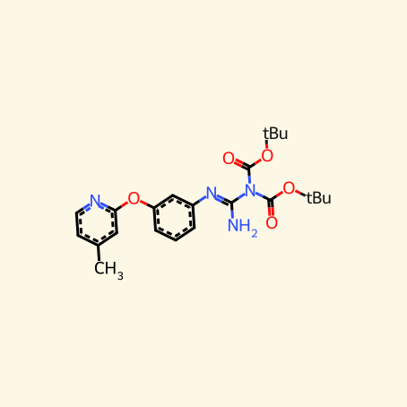 Cc1ccnc(Oc2cccc(/N=C(\N)N(C(=O)OC(C)(C)C)C(=O)OC(C)(C)C)c2)c1